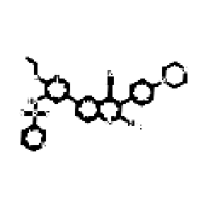 CCOc1ncc(-c2ccc3nc(N)c(-c4ccc(N5CCOCC5)cc4)c(C#N)c3c2)cc1NS(=O)(=O)c1cccnc1